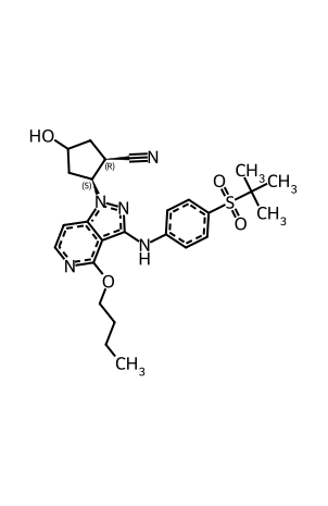 CCCCOc1nccc2c1c(Nc1ccc(S(=O)(=O)C(C)(C)C)cc1)nn2[C@H]1CC(O)C[C@H]1C#N